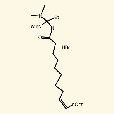 Br.CCCCCCCC/C=C\CCCCCCCC(=O)NC(CC)(NC)N(C)C